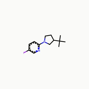 CC(C)(C)C1CCN(c2ccc(I)cn2)C1